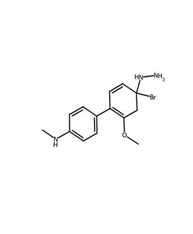 CNc1ccc(C2=C(OC)CC(Br)(NN)C=C2)cc1